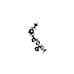 O=C(Nc1ccc2oc(-c3ccnc(C(=O)N4CCN(C(c5ccccc5)c5nnn(C(F)F)n5)CC4)c3)nc2c1)C1CC1(F)F